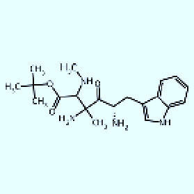 CNC(C(=O)OC(C)(C)C)C(C)(N)C(=O)[C@@H](N)Cc1c[nH]c2ccccc12